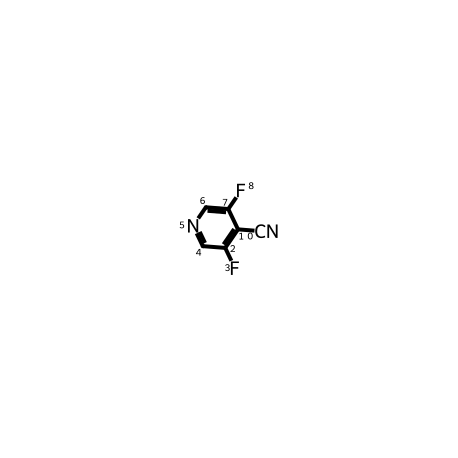 N#Cc1c(F)cncc1F